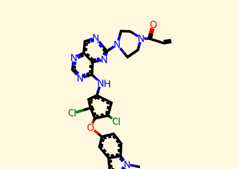 C=CC(=O)N1CCN(c2ncc3ncnc(Nc4cc(Cl)c(Oc5ccc6c(ccn6C)c5)c(Cl)c4)c3n2)CC1